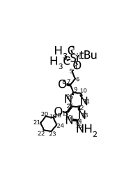 CC(C)(C)[Si](C)(C)OCCC(=O)c1cnc2nc(N)nc(OC3CCCCC3)c2n1